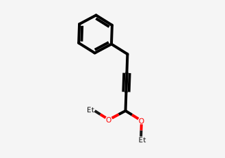 CCOC(C#CCc1ccccc1)OCC